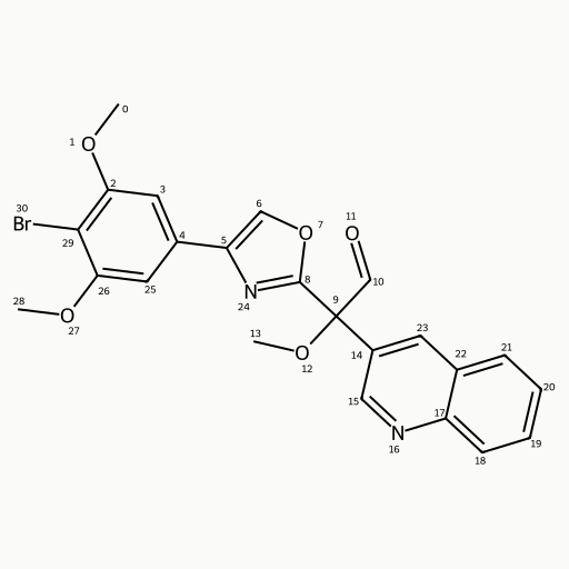 COc1cc(-c2coc(C(C=O)(OC)c3cnc4ccccc4c3)n2)cc(OC)c1Br